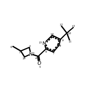 CC1CN(C(=O)c2ccc(C(C)(C)C)cn2)C1